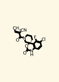 C/C=C(\C#N)C(=O)N1CCC[C@@]2(C1)OC(=O)Nc1ccc(Cl)c(F)c12